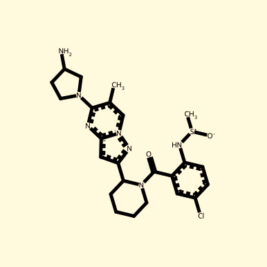 Cc1cn2nc(C3CCCCN3C(=O)c3cc(Cl)ccc3N[S+](C)[O-])cc2nc1N1CCC(N)C1